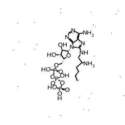 CCCCC(N)CNc1nc2c(N)ncnc2n1[C@@H]1O[C@H](COP(=O)(O)OP(=O)(O)OP(=O)(O)O)[C@@H](O)[C@H]1O